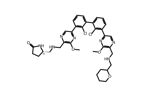 COc1nc(-c2cccc(-c3cccc(-c4cnc(CNC[C@@H]5CCC(=O)N5)c(OC)n4)c3Cl)c2Cl)cnc1CNCC1CCCCO1